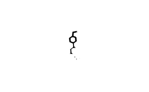 CCCCOC(=O)CC(=O)c1ccc2ccoc2c1